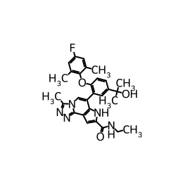 CCNC(=O)c1cc2c([nH]1)c(-c1cc(C(C)(C)O)ccc1Oc1c(C)cc(F)cc1C)cn1c(C)nnc21